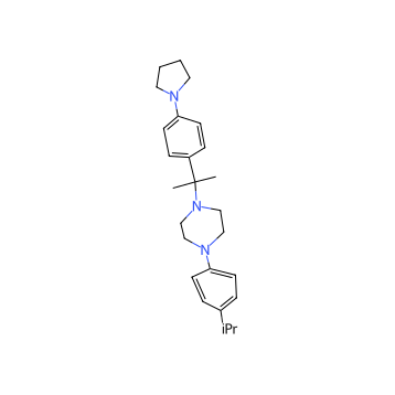 CC(C)c1ccc(N2CCN(C(C)(C)c3ccc(N4CCCC4)cc3)CC2)cc1